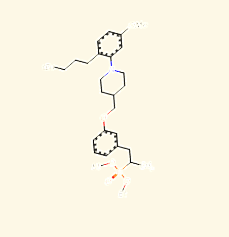 CCOP(=O)(OCC)C(C)Cc1cccc(OCC2CCN(c3cc(OC)ccc3CCCC(C)(C)C)CC2)c1